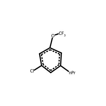 CCCc1cc(Cl)cc(OC(F)(F)F)c1